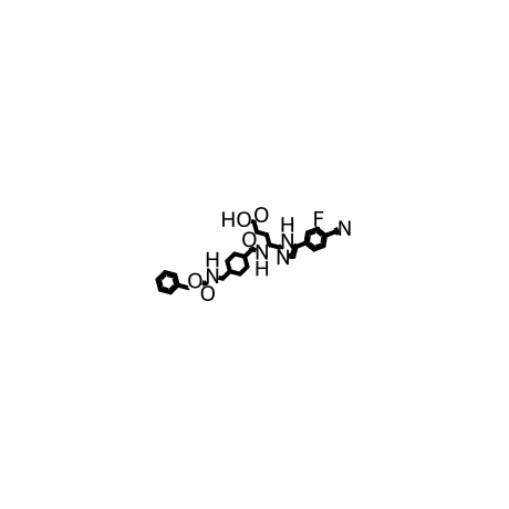 N#Cc1ccc(-c2cnc(C(CCC(=O)O)NC(=O)C3CCC(CNC(=O)OCc4ccccc4)CC3)[nH]2)cc1F